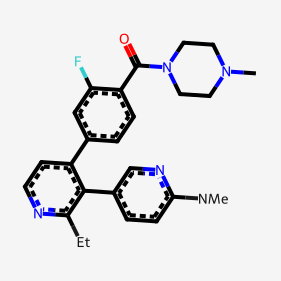 CCc1nccc(-c2ccc(C(=O)N3CCN(C)CC3)c(F)c2)c1-c1ccc(NC)nc1